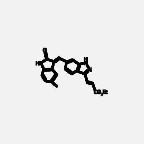 CCOC(=O)/C=C/c1n[nH]c2cc(/C=C3/C(=O)Nc4ccc(C)cc43)ccc12